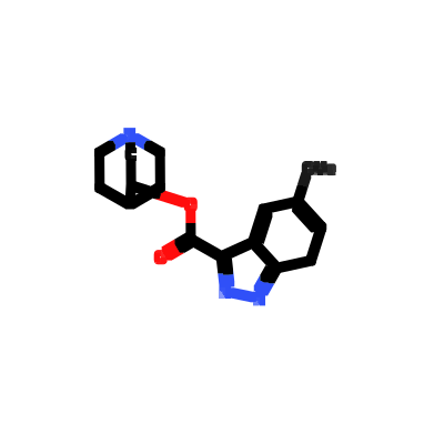 COC1=CCC2=NN=C(C(=O)OC3CN4CCC3CC4)C2=C1